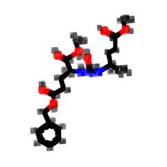 C[C@H](CCC(=O)OC(C)(C)C)NC(=O)N[C@@H](CCC(=O)OCc1ccccc1)C(=O)OC(C)(C)C